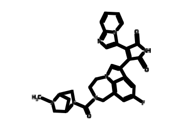 CN1CC2CC1CN2C(=O)N1CCn2cc(C3=C(c4cnc5ccccn45)C(=O)NC3=O)c3cc(F)cc(c32)C1